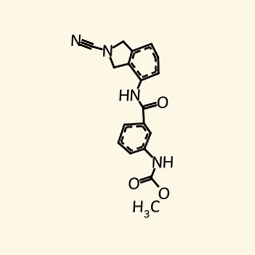 COC(=O)Nc1cccc(C(=O)Nc2cccc3c2CN(C#N)C3)c1